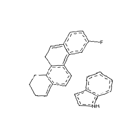 Fc1ccc2c(c1)=c1ccc3c(c1CC=2)CCCC=3.c1ccc2[nH]ccc2c1